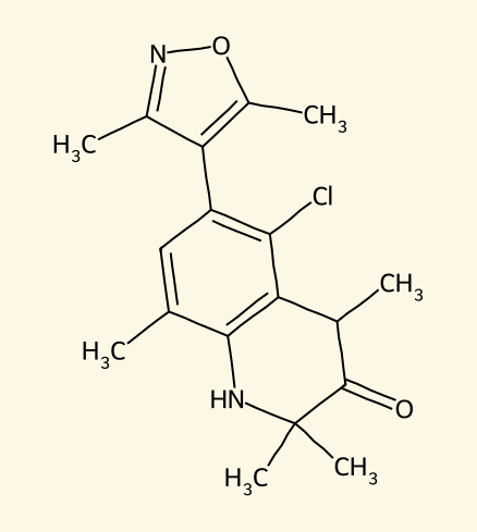 Cc1cc(-c2c(C)noc2C)c(Cl)c2c1NC(C)(C)C(=O)C2C